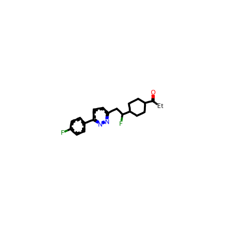 CCC(=O)C1CCC(C(F)Cc2ccc(-c3ccc(F)cc3)nn2)CC1